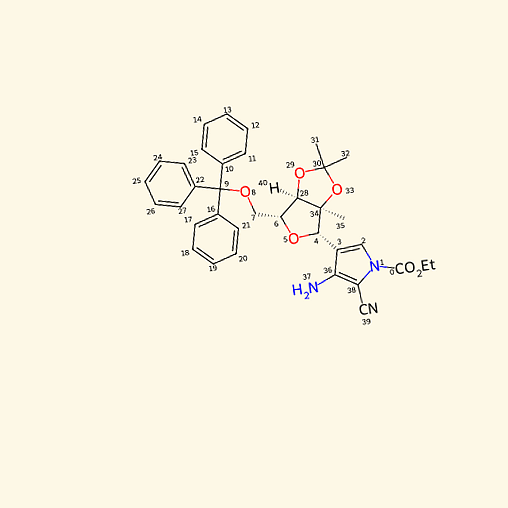 CCOC(=O)n1cc([C@@H]2O[C@H](COC(c3ccccc3)(c3ccccc3)c3ccccc3)[C@H]3OC(C)(C)O[C@]32C)c(N)c1C#N